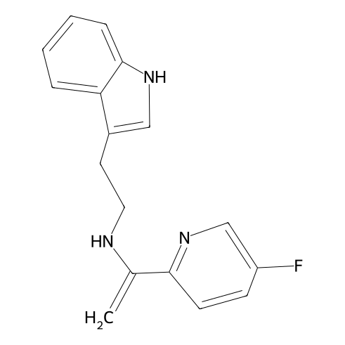 C=C(NCCc1c[nH]c2ccccc12)c1ccc(F)cn1